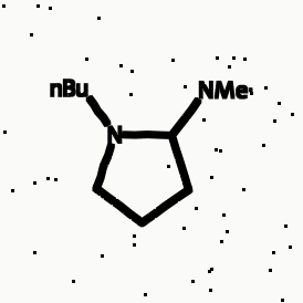 CCCCN1CCCC1[N]C